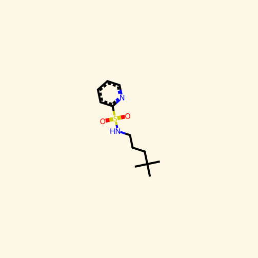 CC(C)(C)CCCNS(=O)(=O)c1ccccn1